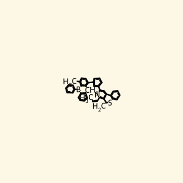 C=C1Sc2ccccc2-c2cc(-c3cccc(-c4ccc(C)c(B(c5ccccc5)c5ccccc5)c4C)c3)nc(/C=C\C)c21